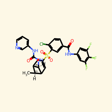 C[C@@H]1C2C=C(S(=O)(=O)c3cc(C(=O)Nc4cc(F)c(F)c(F)c4)ccc3Cl)CC1[C@H]2NC(=O)Nc1cccnc1